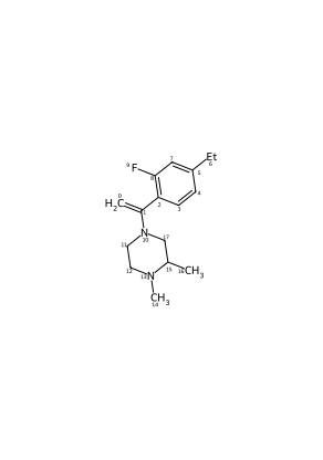 C=C(c1ccc(CC)cc1F)N1CCN(C)C(C)C1